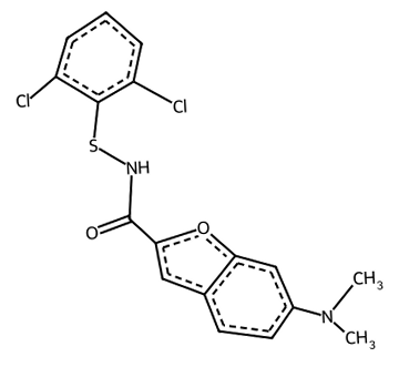 CN(C)c1ccc2cc(C(=O)NSc3c(Cl)cccc3Cl)oc2c1